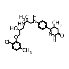 Cc1ccc(Cl)c(OCC(O)CNC(C)CNc2ccc(C3=NNC(=O)CC3C)cc2)c1